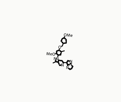 COc1ccc(COc2cc(OC)c(-n3nc(C)c4cnc(-c5cnn6cccnc56)cc43)cc2C)cc1